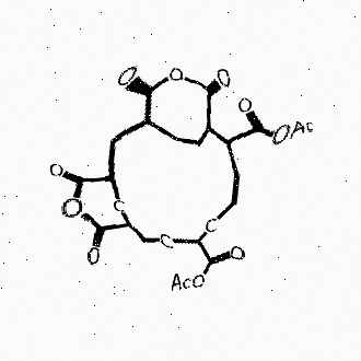 CC(=O)OC(=O)C1CCCC(C(=O)OC(C)=O)C2CCC(CC3CC(CC1)C(=O)OC3=O)C(=O)OC2=O